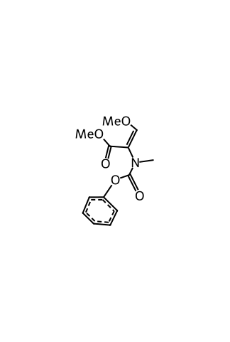 COC=C(C(=O)OC)N(C)C(=O)Oc1ccccc1